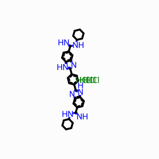 Cl.Cl.Cl.Cl.N=C(NC1CCCCC1)c1ccc2[nH]c(-c3ccc(-c4nc5cc(C(=N)NC6CCCCC6)ccc5[nH]4)cc3)nc2c1